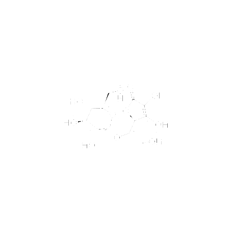 O=C1O[C@H]([C@H](CO)O[C@H]2O[C@H](CO)[C@@H](O)[C@H](O)[C@H]2O)C(O)=C1O